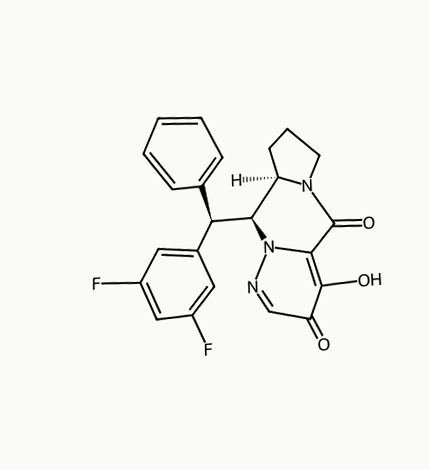 O=C1c2c(O)c(=O)cnn2[C@@H]([C@H](c2ccccc2)c2cc(F)cc(F)c2)[C@H]2CCCN12